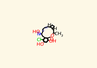 C[C@@H]1C[C@H]2CC[C@@H]2\C=C/C=C/C(=N\O)Cc2c(Cl)c(O)cc(O)c2C(=O)O1